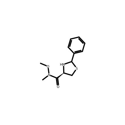 CON(C)C(=O)[C@@H]1CSC(c2ccccc2)N1